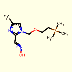 CS(C)(C)CCOCn1cc(C(F)(F)F)nc1/C=N/O